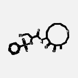 CC(C)CC(NS(=O)(=O)c1ccccc1)C(=O)NC1CCCCCOCCNC(=O)C1=O